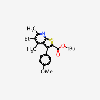 CCc1c(C)nc2sc(C(=O)OC(C)(C)C)c(-c3ccc(OC)cc3)c2c1C